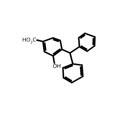 O=C(O)c1ccc(C(c2ccccc2)c2ccccc2)c(O)c1